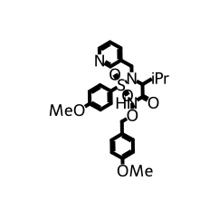 COc1ccc(CONC(=O)C(C(C)C)N(Cc2cccnc2)S(=O)(=O)c2ccc(OC)cc2)cc1